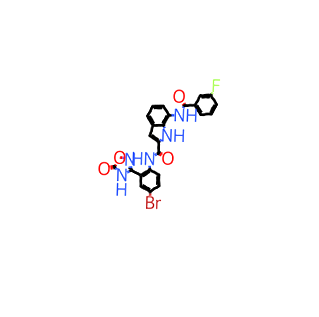 O=C(Nc1cccc2cc(C(=O)Nc3ccc(Br)cc3-c3noc(=O)[nH]3)[nH]c12)c1cccc(F)c1